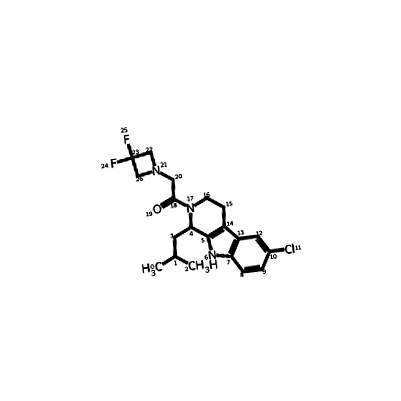 CC(C)CC1c2[nH]c3ccc(Cl)cc3c2CCN1C(=O)CN1CC(F)(F)C1